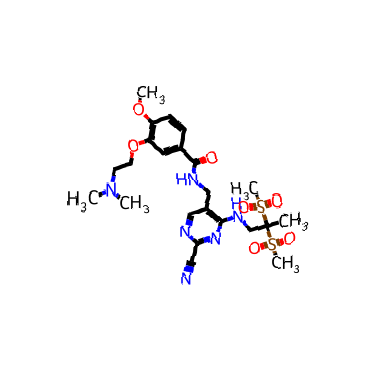 COc1ccc(C(=O)NCc2cnc(C#N)nc2NCC(C)(S(C)(=O)=O)S(C)(=O)=O)cc1OCCN(C)C